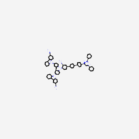 N#Cc1ccc2c(c1)c1ccccc1n2-c1ccc2c(c1)c1cc(-n3c4ccccc4c4cc(C#N)ccc43)ccc1n2-c1ccc(-c2ccc(-c3ccc(-c4cc(-c5ccccc5)nc(-c5ccccc5)n4)cc3)cc2)cc1C#N